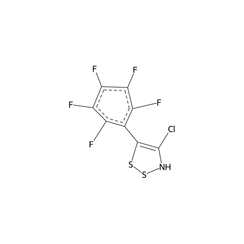 Fc1c(F)c(F)c(C2=C(Cl)NSS2)c(F)c1F